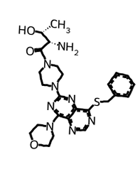 C[C@@H](O)[C@H](N)C(=O)N1CCN(c2nc(N3CCOCC3)c3ncnc(SCc4ccccc4)c3n2)CC1